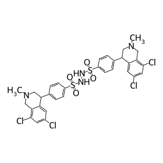 CN1Cc2c(Cl)cc(Cl)cc2C(c2ccc(S(=O)(=O)NNS(=O)(=O)c3ccc(C4CN(C)Cc5c(Cl)cc(Cl)cc54)cc3)cc2)C1